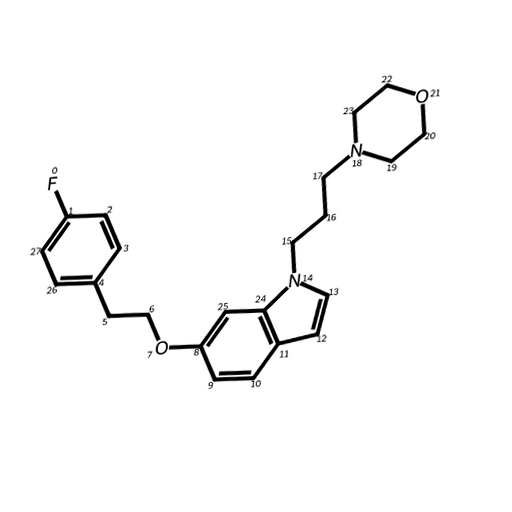 Fc1ccc(CCOc2ccc3ccn(CCCN4CCOCC4)c3c2)cc1